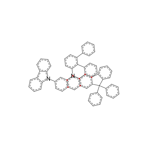 c1ccc(-c2ccccc2-c2c(-c3ccccc3)cccc2N(c2cccc(-n3c4ccccc4c4ccccc43)c2)c2ccc3c(c2)-c2ccccc2C3(c2ccccc2)c2ccccc2)cc1